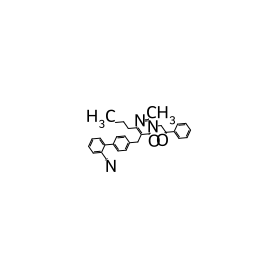 CCCCc1nc(C)n(CC(=O)c2ccccc2)c(=O)c1Cc1ccc(-c2ccccc2C#N)cc1